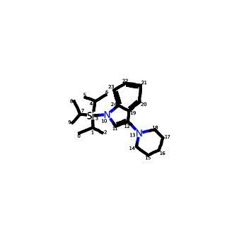 CC(C)[Si](C(C)C)(C(C)C)n1cc(N2CCCCC2)c2ccccc21